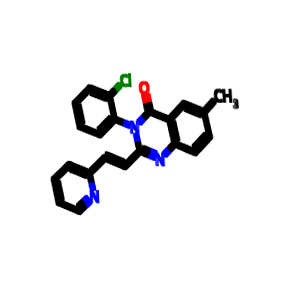 Cc1ccc2nc(C=Cc3ccccn3)n(-c3ccccc3Cl)c(=O)c2c1